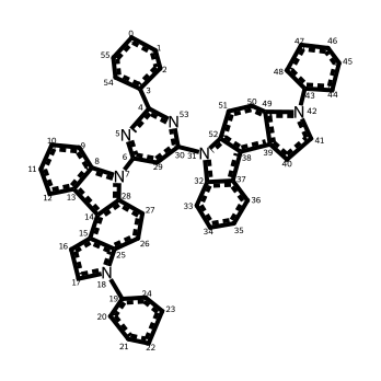 c1ccc(-c2nc(-n3c4ccccc4c4c5ccn(-c6ccccc6)c5ccc43)cc(-n3c4ccccc4c4c5ccn(-c6ccccc6)c5ccc43)n2)cc1